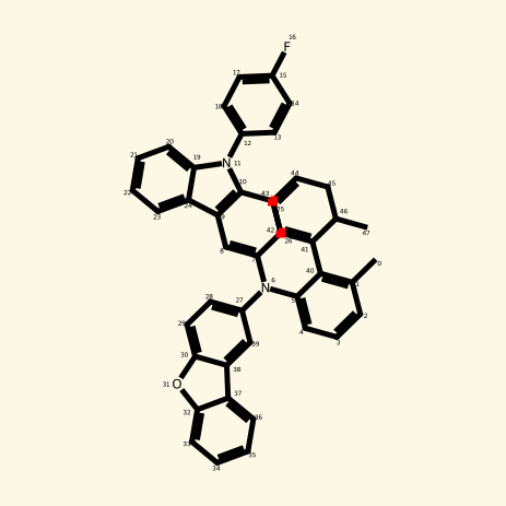 Cc1cccc(N(C2=Cc3c(n(-c4ccc(F)cc4)c4ccccc34)CC2)c2ccc3oc4ccccc4c3c2)c1C1=CC=CCC1C